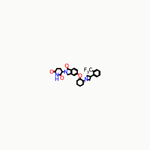 O=C1CCC(N2Cc3cc(O[C@@H]4CCCC[C@H]4N4CC(c5ccccc5C(F)(F)F)C4)ccc3C2=O)C(=O)N1